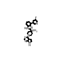 NC1(c2nc3c(-c4cncc(F)c4)cccc3[nH]2)CCN(c2ncnc3[nH]ccc23)CC1